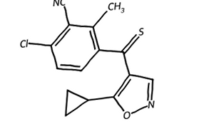 Cc1c(C(=S)c2cnoc2C2CC2)ccc(Cl)c1C#N